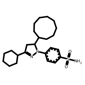 NS(=O)(=O)c1ccc(N2N=C(C3CCCCC3)CC2C2CCCCCCCC2)cc1